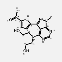 Cn1nc(-c2ccc([N+](=O)[O-])o2)c2c(N(CCO)CCO)ncnc21